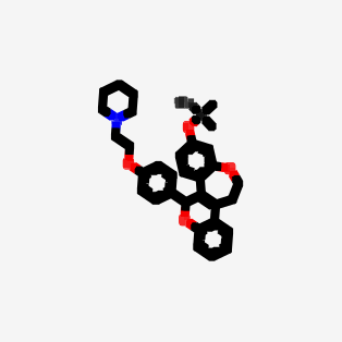 CC(C)(C)[Si](C)(C)Oc1ccc2c(c1)OCCC1=C2C(c2ccc(OCCN3CCCCC3)cc2)Oc2ccccc21